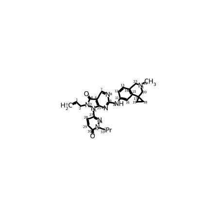 C=CCn1c(=O)c2cnc(Nc3ccc4c(c3)C3(CC3)CN(C)C4)nc2n1-c1ccc(=O)n(C(C)C)n1